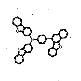 c1ccc2c(c1)cc(-c1ccc(N(c3ccc4c(c3)oc3ccccc34)c3ccc4c(c3)sc3ccccc34)cc1)c1c3ccccc3oc21